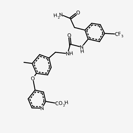 Cc1cc(CNC(=O)Nc2cc(C(F)(F)F)ccc2CC(N)=O)ccc1Oc1ccnc(C(=O)O)c1